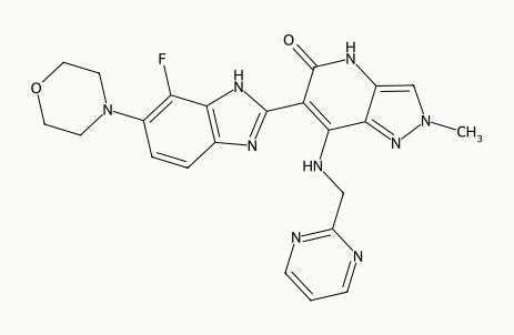 Cn1cc2[nH]c(=O)c(-c3nc4ccc(N5CCOCC5)c(F)c4[nH]3)c(NCc3ncccn3)c2n1